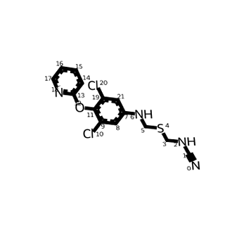 N#CNCSCNc1cc(Cl)c(Oc2ccccn2)c(Cl)c1